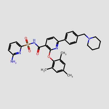 Cc1cc(C)c(Oc2nc(-c3ccc(CN4CCCCC4)cc3)ccc2C(=O)NS(=O)(=O)c2cccc(N)n2)c(C)c1